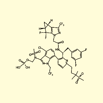 CC(C)(CCc1ccc(-c2ccc(Cl)c3c(N(COP(=O)(O)O)S(C)(=O)=O)nn(CC(F)(F)F)c23)c([C@H](Cc2cc(F)cc(F)c2)NC(=O)Cn2nc(C(F)(F)F)c3c2C(F)(F)[C@@H]2C[C@H]32)n1)S(C)(=O)=O